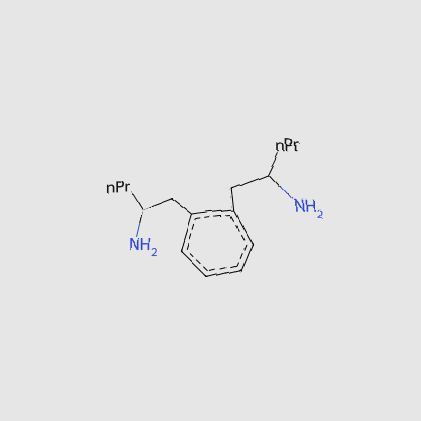 CCCC(N)Cc1ccccc1CC(N)CCC